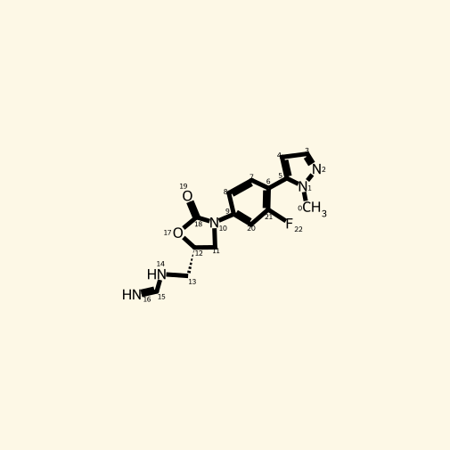 Cn1nccc1-c1ccc(N2C[C@H](CNC=N)OC2=O)cc1F